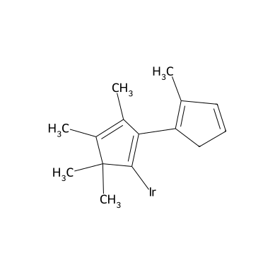 CC1=C(C2=[C]([Ir])C(C)(C)C(C)=C2C)CC=C1